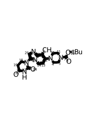 Cc1c(N2CCN(C(=O)OC(C)(C)C)CC2)ccn2c(N3CCC(=O)NC3=O)cnc12